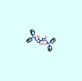 O=C1C=C(C2=C(O)CN(CC(=O)N(C34CC5CC(CC(C5)C3)C4)C34CC5CC(CC(C5)C3)C4)C2=O)CN1CC(=O)N(C12CC3CC(CC(C3)C1)C2)C12CC3CC(CC(C3)C1)C2